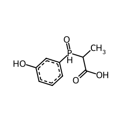 CC(C(=O)O)[PH](=O)c1cccc(O)c1